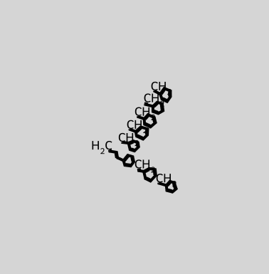 C=CC=Cc1ccccc1.C=Cc1ccccc1.C=Cc1ccccc1.C=Cc1ccccc1.C=Cc1ccccc1.C=Cc1ccccc1.C=Cc1ccccc1.C=Cc1ccccc1